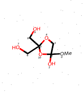 COC1(O)COC(CO)(CO)O1